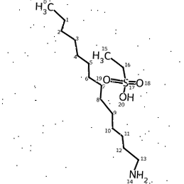 CCCCCCCCCCCCCCN.CCS(=O)(=O)O